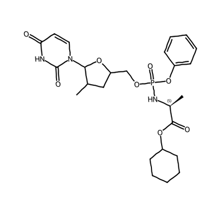 CC1CC(COP(=O)(N[C@@H](C)C(=O)OC2CCCCC2)Oc2ccccc2)OC1n1ccc(=O)[nH]c1=O